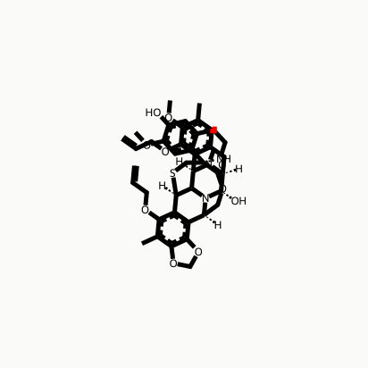 C=CCOc1c(C)c2c(c3c1[C@H]1SC[C@]4(NCCc5cc(O)c(OC)cc54)C(=O)OC[C@@H]3N3C1[C@H]1c4c(cc(C)c(OC)c4OCC=C)C[C@@H]([C@@H]3O)N1C)OCO2